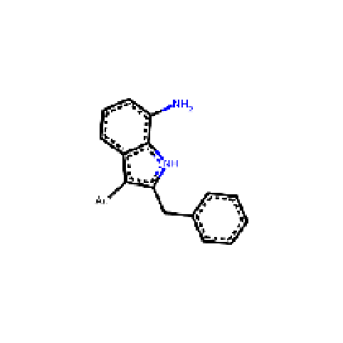 CC(=O)c1c(Cc2ccccc2)[nH]c2c(N)cccc12